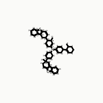 CC1CCCC=C1C1C=CC(N(C2=CC(C)C(C3C=Cc4sc5ccccc5c4C3)C=C2)C2C=CC(C3(C)C=c4c(oc5ccccc45)=CC3)=CC2)=CC1